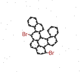 Brc1c2ccc3ccc(Br)c4c5ccc6ccccc6c5c(c5ccc6ccccc6c15)c2c34